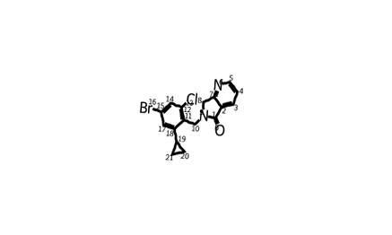 O=C1c2cccnc2CN1Cc1c(Cl)cc(Br)cc1C1CC1